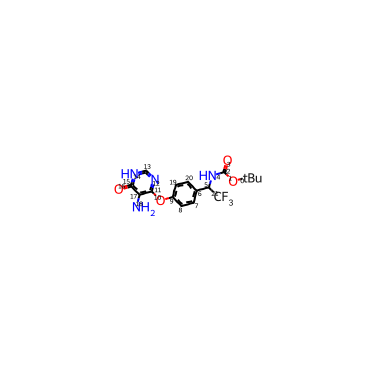 CC(C)(C)OC(=O)NC(c1ccc(Oc2nc[nH]c(=O)c2N)cc1)C(F)(F)F